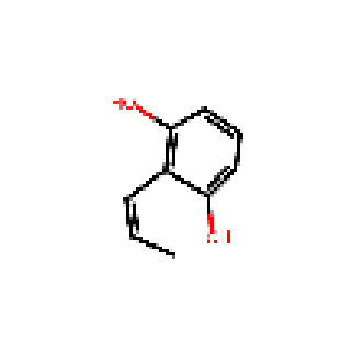 C/C=C\c1c(O)cccc1O